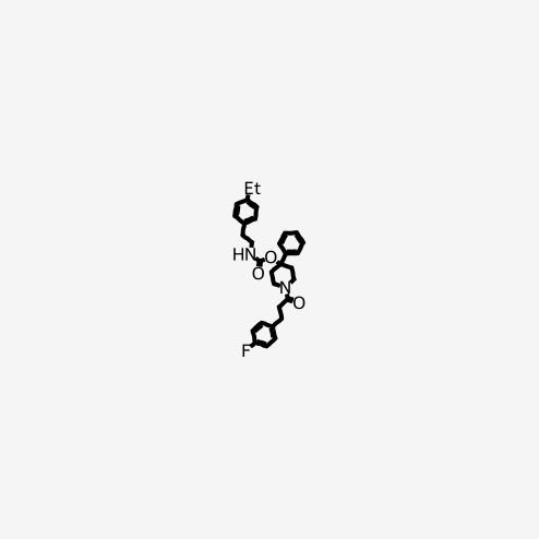 CCc1ccc(CCNC(=O)OC2(c3ccccc3)CCN(C(=O)CCc3ccc(F)cc3)CC2)cc1